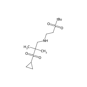 CC(C)(C)S(=O)(=O)CCNCC(C)(C)S(=O)(=O)C1CC1